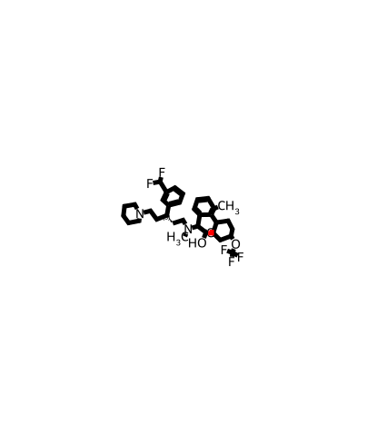 Cc1cccc(C(C(=O)O)N(C)CC[C@H](CCN2CCCCC2)c2cccc(C(F)F)c2)c1C1CCC(OC(F)(F)F)CC1